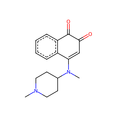 CN1CCC(N(C)C2=CC(=O)C(=O)c3ccccc32)CC1